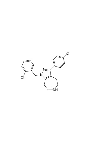 Clc1ccc(-c2nn(Cc3ccccc3Cl)c3c2CCNCC3)cc1